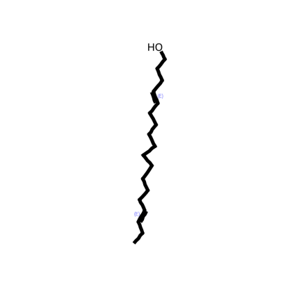 CC/C=C/CCCCCCCCC/C=C/CCCO